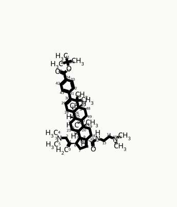 C=C(CN(C)C)[C@@H]1CC[C@]2(C(=O)NCCN(C)C)CC[C@]3(C)[C@H](CC[C@@H]4[C@@]5(C)CC=C(c6ccc(C(=O)OC(C)(C)C)cc6)C(C)(C)[C@@H]5CC[C@]43C)[C@@H]12